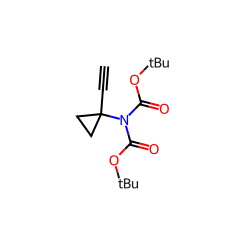 C#CC1(N(C(=O)OC(C)(C)C)C(=O)OC(C)(C)C)CC1